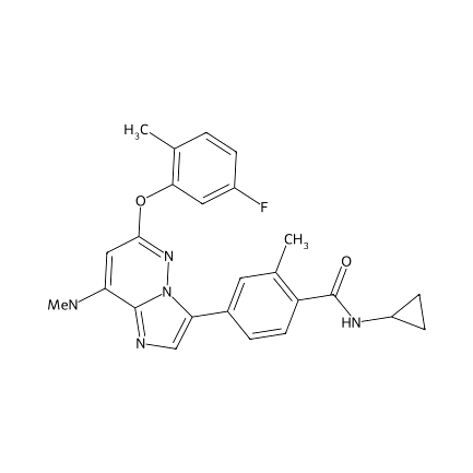 CNc1cc(Oc2cc(F)ccc2C)nn2c(-c3ccc(C(=O)NC4CC4)c(C)c3)cnc12